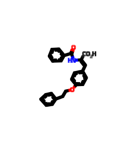 O=C(O)/C(=C/c1ccc(OCCc2ccccc2)cc1)NC(=O)c1ccccc1